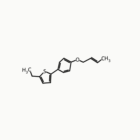 CC=CCOc1ccc(-c2ccc(CC)s2)cc1